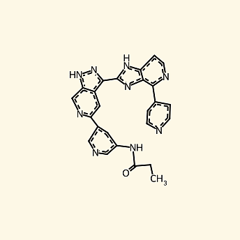 CCC(=O)Nc1cncc(-c2cc3c(-c4nc5c(-c6ccncc6)nccc5[nH]4)n[nH]c3cn2)c1